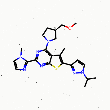 COC[C@@H]1CCN(c2nc(-c3nccn3C)nc3sc(-c4ccn(C(C)C)n4)c(C)c23)C1